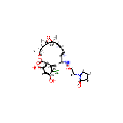 C[C@@H]1C[C@@H]2O[C@H]2/C=C\C=C\C(NOCCN2CCCC2=O)Cc2c(Cl)c(O)cc(O)c2C(=O)O1